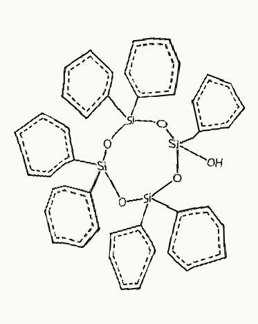 O[Si]1(c2ccccc2)O[Si](c2ccccc2)(c2ccccc2)O[Si](c2ccccc2)(c2ccccc2)O[Si](c2ccccc2)(c2ccccc2)O1